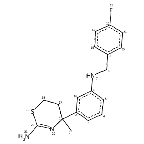 CC1(c2cccc(NCc3ccc(F)cc3)c2)CCSC(N)=N1